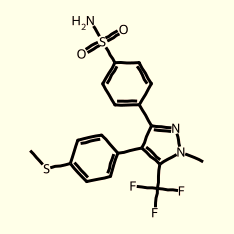 CSc1ccc(-c2c(-c3ccc(S(N)(=O)=O)cc3)nn(C)c2C(F)(F)F)cc1